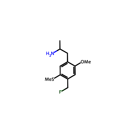 COc1cc(CF)c(SC)cc1CC(C)N